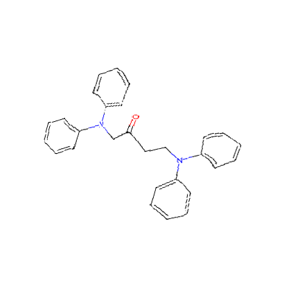 O=C(CCN(c1ccccc1)c1ccccc1)CN(c1ccccc1)c1ccccc1